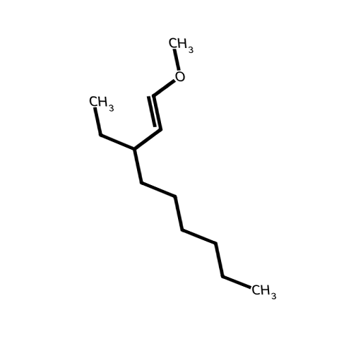 CCCCCCC(C=COC)CC